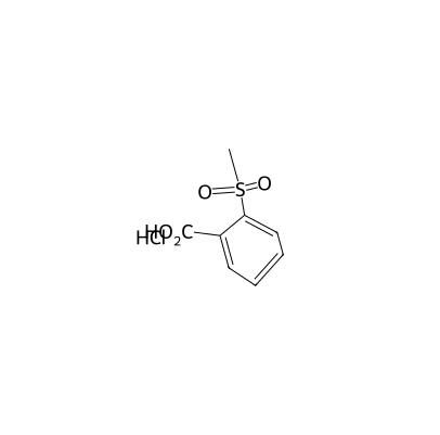 CS(=O)(=O)c1ccccc1C(=O)O.Cl